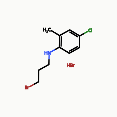 Br.Cc1cc(Cl)ccc1NCCCBr